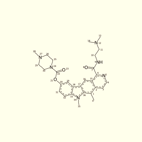 Cc1c2ccnc(C(=O)NCCN(C)C)c2cc2c3cc(OC(=O)N4CCN(C)CC4)ccc3n(C)c12